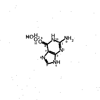 Nc1nc2[nH]cnc2c(=O)[nH]1.O.[OH]